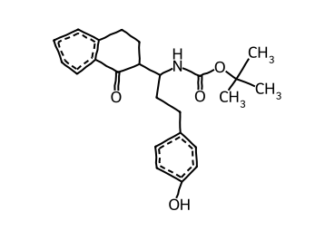 CC(C)(C)OC(=O)NC(CCc1ccc(O)cc1)C1CCc2ccccc2C1=O